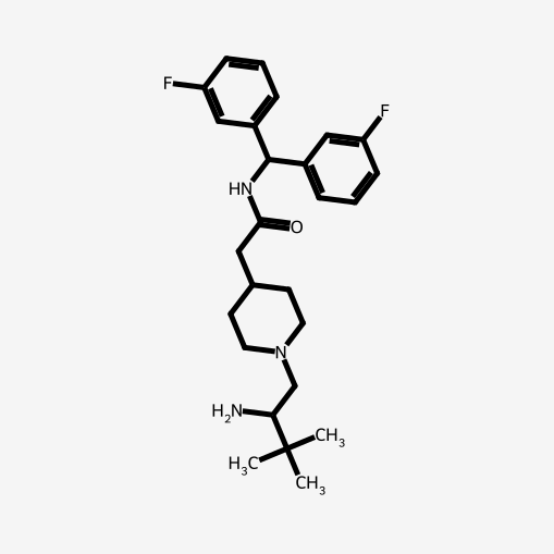 CC(C)(C)C(N)CN1CCC(CC(=O)NC(c2cccc(F)c2)c2cccc(F)c2)CC1